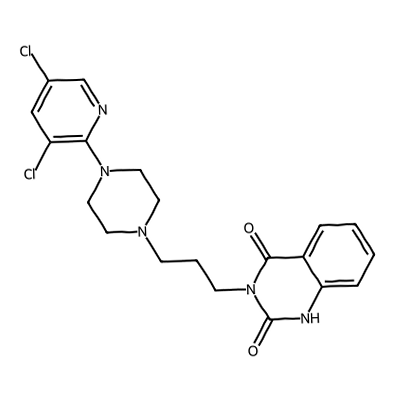 O=c1[nH]c2ccccc2c(=O)n1CCCN1CCN(c2ncc(Cl)cc2Cl)CC1